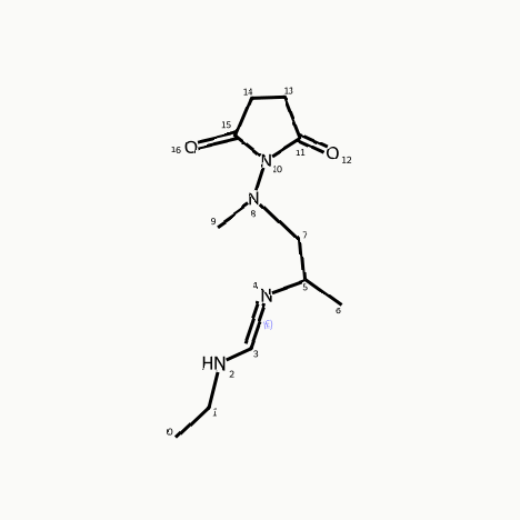 CCN/C=N/C(C)CN(C)N1C(=O)CCC1=O